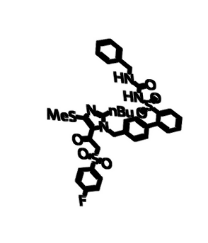 CCCCc1nc(SC)c(C(=O)CS(=O)(=O)c2ccc(F)cc2)n1Cc1ccc(-c2ccccc2S(=O)(=O)NC(=O)NCc2ccccc2)cc1